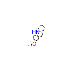 CC(C)(C)Oc1ccc2c(c1)C=CC1(CCCCC1)N2